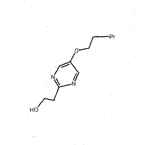 CC(C)CCOc1cnc(CCO)nc1